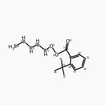 BBBBBOOC(=O)c1ccccc1C(C)(C)C